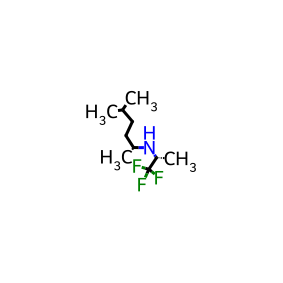 CC(C)CC[C@@H](C)N[C@H](C)C(F)(F)F